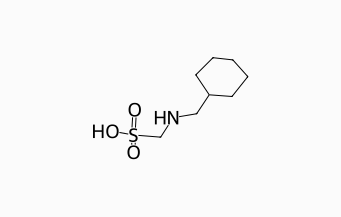 O=S(=O)(O)CNCC1CCCCC1